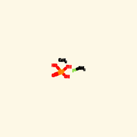 F[SiH3].O=P(O)(O)O.[CaH2]